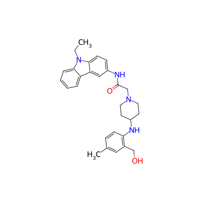 CCn1c2ccccc2c2cc(NC(=O)CN3CCC(Nc4ccc(C)cc4CO)CC3)ccc21